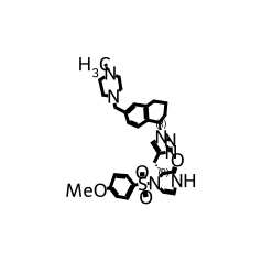 COc1ccc(S(=O)(=O)N2C=CNC(=O)[C@H]2Cc2cn([C@@H]3CCCc4cc(CN5CCN(C)CC5)ccc43)nn2)cc1